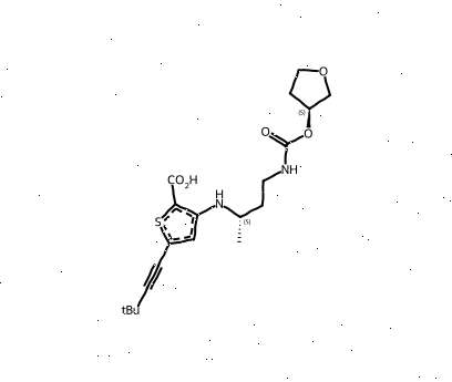 C[C@@H](CCNC(=O)O[C@H]1CCOC1)Nc1cc(C#CC(C)(C)C)sc1C(=O)O